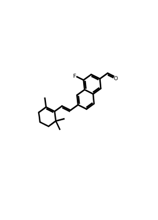 CC1=C(C=Cc2ccc3cc(C=O)cc(F)c3c2)C(C)(C)CCC1